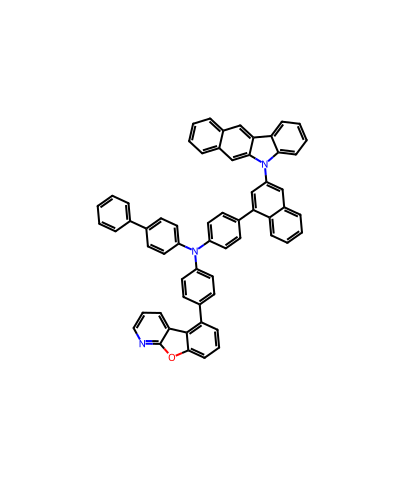 c1ccc(-c2ccc(N(c3ccc(-c4cc(-n5c6ccccc6c6cc7ccccc7cc65)cc5ccccc45)cc3)c3ccc(-c4cccc5oc6ncccc6c45)cc3)cc2)cc1